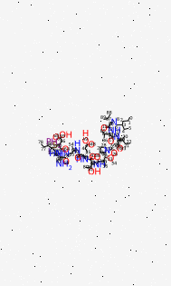 CCCC(CC)CN(C)[C@H](C(=O)N[C@H](C(=O)N(C)[C@@H]([C@@H](C)CC)[C@@H](CC(=O)N1CCC[C@H]1C(OC)[C@@H](C)C(=O)N[C@H](C(=O)N[C@@H](CCC(=O)O)C(=O)N[C@H](C)CNC(=O)[C@H](CN)NC(=O)C(CC(=O)O)SC(I)(CC)C(P)CC)C(C)O)OC)C(C)C)C(C)C